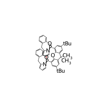 CC(C)(C)c1cc(P2Oc3ccccc3Cc3cccn32)c2c(c1)C(C)(C)c1cc(C(C)(C)C)cc(P3Oc4ccccc4Cc4cccn43)c1O2